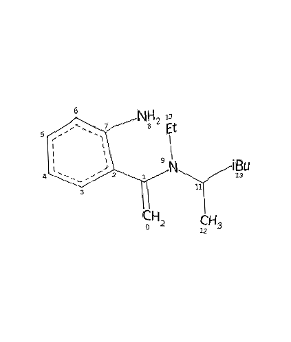 C=C(c1ccccc1N)N(CC)C(C)C(C)CC